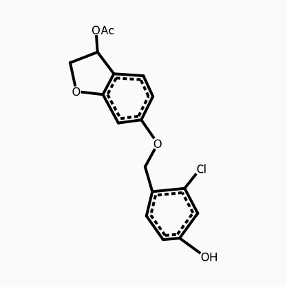 CC(=O)OC1COc2cc(OCc3ccc(O)cc3Cl)ccc21